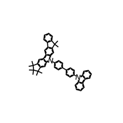 CC1(C)c2ccccc2-c2cc3c4cc5c(cc4n(-c4ccc(-c6ccc(-n7c8ccccc8c8ccccc87)cc6)cc4)c3cc21)C(C)(C)C(C)(C)C5(C)C